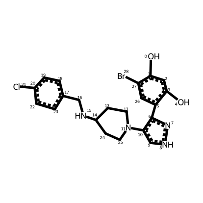 Oc1cc(O)c(-c2n[nH]cc2N2CCC(NCc3ccc(Cl)cc3)CC2)cc1Br